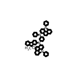 CC1(C)c2ccccc2-c2ccc(N(c3cccc(N(c4ccccc4)c4ccc5c6c4ccc4cccc(c46)n5-c4ccccc4)c3)c3ccc4c5c3ccc3cccc(c35)n4-c3ccccc3)cc21